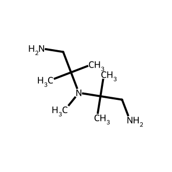 CN(C(C)(C)CN)C(C)(C)CN